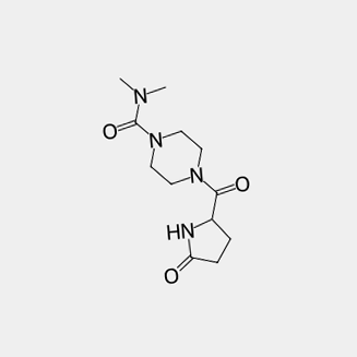 CN(C)C(=O)N1CCN(C(=O)C2CCC(=O)N2)CC1